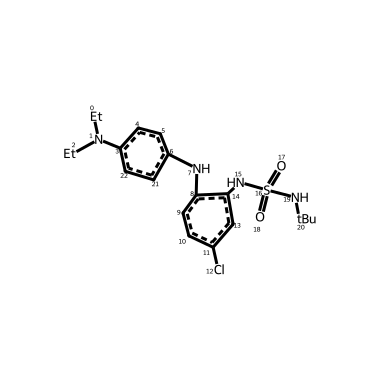 CCN(CC)c1ccc(Nc2ccc(Cl)cc2NS(=O)(=O)NC(C)(C)C)cc1